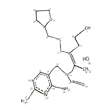 CC(=C(CCO)SSCC1CCCO1)N(C=O)Cc1cnc(C)nc1N.Cl